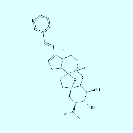 CN(C)[C@H]1C[C@@]23CC[C@]4(O2)C2CC=C(/C=C/c5cccnc5)[C@@]2(C)CCC4(F)CC3[C@@H](O)[C@@H]1O